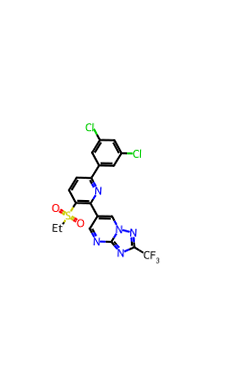 CCS(=O)(=O)c1ccc(-c2cc(Cl)cc(Cl)c2)nc1-c1cnc2nc(C(F)(F)F)nn2c1